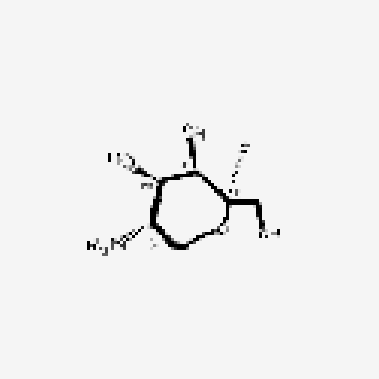 C[C@]1(CO)OC[C@H](N)[C@@H](O)[C@H]1O